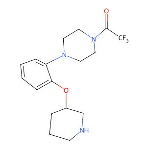 O=C(N1CCN(c2ccccc2OC2CCCNC2)CC1)C(F)(F)F